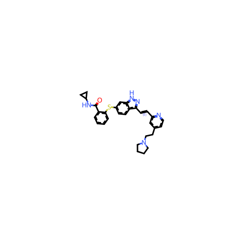 O=C(NC1CC1)c1ccccc1Sc1ccc2c(/C=C/c3cc(CCN4CCCC4)ccn3)n[nH]c2c1